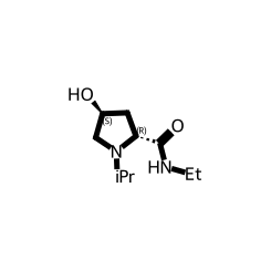 CCNC(=O)[C@H]1C[C@H](O)CN1C(C)C